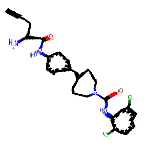 C#CCC(N)C(=O)Nc1ccc(C2CCN(C(=O)Nc3c(Cl)cccc3Cl)CC2)cc1